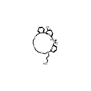 O=S1(=O)Nc2ccc(C(F)(F)F)c(n2)-c2ccccc2CCCCCCCCCN(CCCO)c2cccc1n2